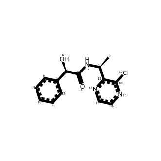 C[C@H](NC(=O)[C@H](O)c1ccccc1)c1nccnc1Cl